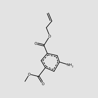 C=CCOC(=O)c1cc(N)cc(C(=O)OC)c1